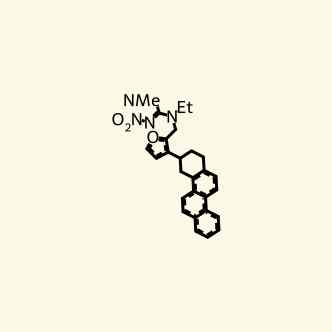 CCN(Cc1occc1C1CCc2ccc3c(ccc4ccccc43)c2C1)C(=N[N+](=O)[O-])NC